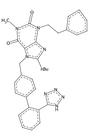 CCCCc1nc2c(c(=O)n(C)c(=O)n2CCc2ccccc2)n1Cc1ccc(-c2ccccc2-c2nnn[nH]2)cc1